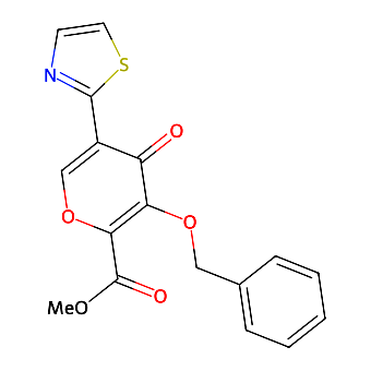 COC(=O)c1occ(-c2nccs2)c(=O)c1OCc1ccccc1